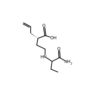 C=CC[C@@H](CCNC(CC)C(N)=O)C(=O)O